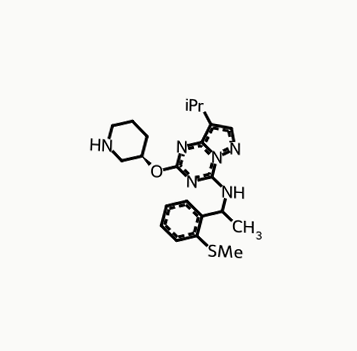 CSc1ccccc1C(C)Nc1nc(O[C@@H]2CCCNC2)nc2c(C(C)C)cnn12